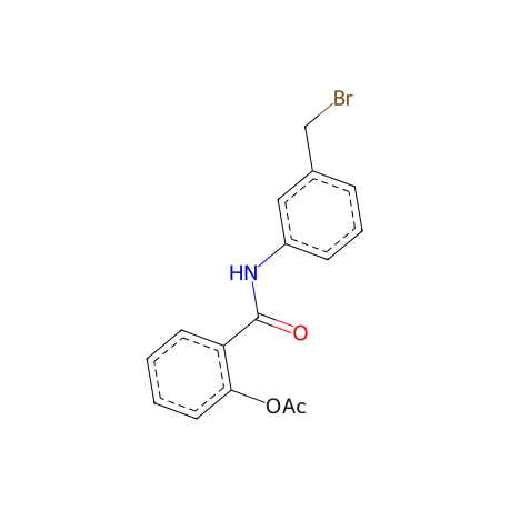 CC(=O)Oc1ccccc1C(=O)Nc1cccc(CBr)c1